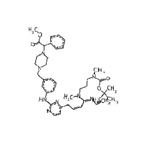 C=C/N=C(\C=C/Cc1ccnc(Nc2cccc(CN3CCN(C(C(=O)OC)c4ccccc4)CC3)c2)n1)N(C)CCCN(C)C(=O)OC(C)(C)C